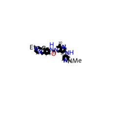 CCN1CCN(Cc2ccc(NC(=O)N3Cc4cc(Nc5ccnc(NC)c5)cnc4C(C)C3)cc2C(F)(F)F)CC1